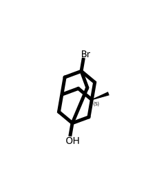 C[C@@]12CC3CC(O)(CC(Br)(C3)C1)C2